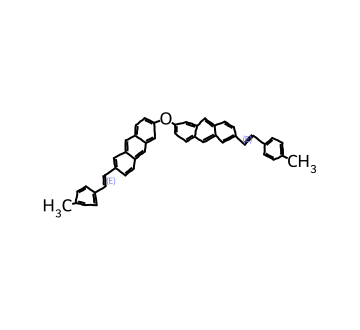 Cc1ccc(/C=C/c2ccc3cc4cc(Oc5ccc6cc7cc(/C=C/c8ccc(C)cc8)ccc7cc6c5)ccc4cc3c2)cc1